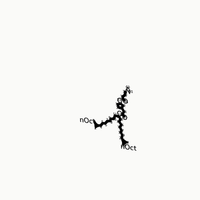 CCCCCCCCC1CC1CCCCCCCCC(CCCCCCCCC1CC1CCCCCCCC)OC(=O)CC1CCC(OC(=O)CCCN(C)C)C1